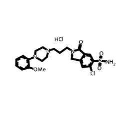 COc1ccccc1N1CCN(CCCN2Cc3cc(Cl)c(S(N)(=O)=O)cc3C2=O)CC1.Cl